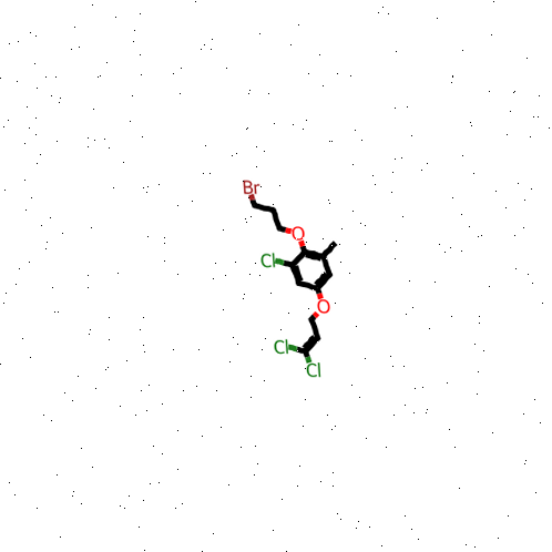 Cc1cc(OCC=C(Cl)Cl)cc(Cl)c1OCCCBr